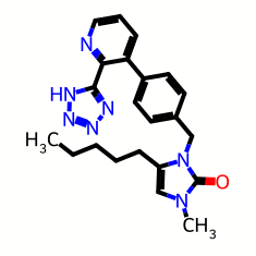 CCCCCc1cn(C)c(=O)n1Cc1ccc(-c2cccnc2-c2nnn[nH]2)cc1